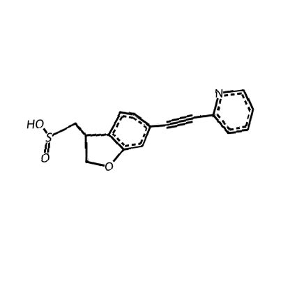 O=S(O)CC1COc2cc(C#Cc3ccccn3)ccc21